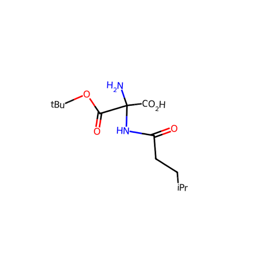 CC(C)CCC(=O)NC(N)(C(=O)O)C(=O)OC(C)(C)C